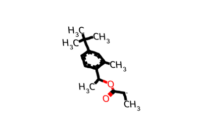 C[CH]C(=O)OC(C)c1ccc(C(C)(C)C)cc1C